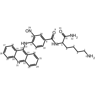 NCCCCC(NC(=O)c1ccc(Nc2c3ccccc3nc3ccccc23)c(N=O)c1)C(N)=O